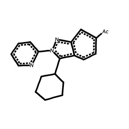 [CH2]C(=O)c1ccc2c(C3CCCCC3)n(-c3ccccn3)nc2c1